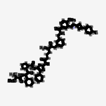 CN[C@@H](C)C(=O)NC(C(=O)N1CCC[C@H]1C(=O)Nc1sc(NC(=O)CCCN(C)C(=O)Cc2cccc(CNC(=O)c3cc(/C=C/C4CC(c5ccc(Cl)cc5)C4)c(OC)cn3)c2)nc1-c1ccccc1)C1CCCCC1